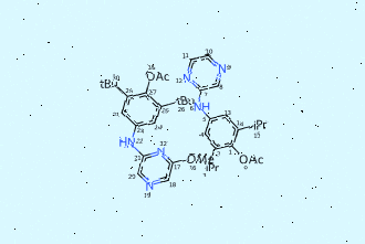 CC(=O)Oc1c(C(C)C)cc(Nc2cnccn2)cc1C(C)C.COc1cncc(Nc2cc(C(C)(C)C)c(OC(C)=O)c(C(C)(C)C)c2)n1